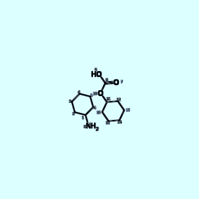 NC1CCCCC1.O=C(O)OC1CCCCC1